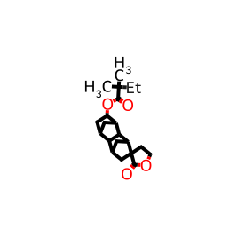 CCC(C)(C)C(=O)OC1CC2CC1C1C2C2CC1C1(CCOC1=O)C2